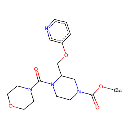 CC(C)(C)OC(=O)N1CCN(C(=O)N2CCOCC2)C(COc2cccnc2)C1